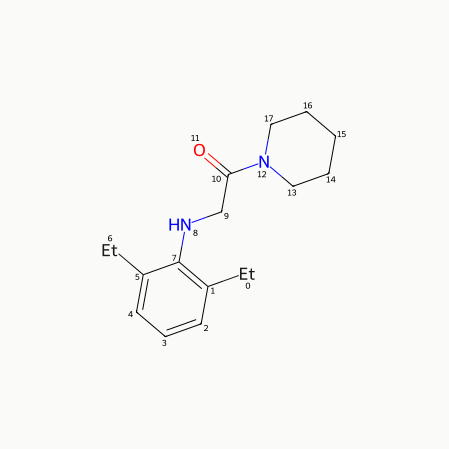 CCc1cccc(CC)c1NCC(=O)N1CCCCC1